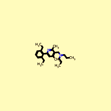 CCCN(CCC)Cc1c(C)cc(-c2c(CC)cccc2CC)nc1C